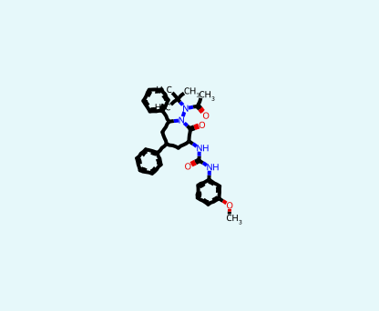 COc1cccc(NC(=O)NC2CC(c3ccccc3)CC(c3ccccc3)N(N(C(C)=O)C(C)(C)C)C2=O)c1